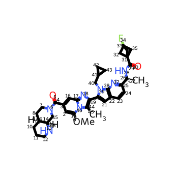 COc1cc(C(=O)N2CC[C@@H]3CCCN[C@@H]3C2)cc2nc(-c3cc4ccc([C@@H](C)NC(=O)C56CC(F)(C5)C6)nc4n3CC3CC3)c(C)n12